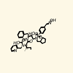 CC[C@H](C)[C@@H](C(=O)N[C@@H](Cc1ccccc1)[C@@H](O)CN(CC1CCCC1)S(=O)(=O)c1ccc(C=NO)cc1)N(Cc1ccccn1)C(=O)O